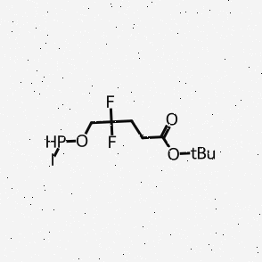 CC(C)(C)OC(=O)CCC(F)(F)COPI